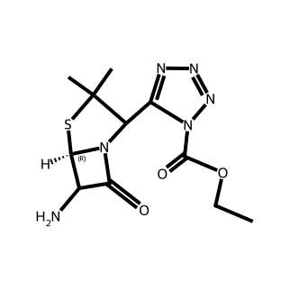 CCOC(=O)n1nnnc1C1N2C(=O)C(N)[C@H]2SC1(C)C